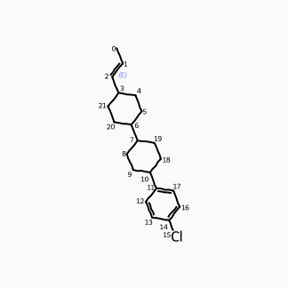 C/C=C/C1CCC(C2CCC(c3ccc(Cl)cc3)CC2)CC1